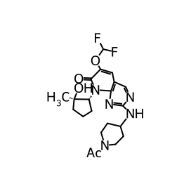 CC(=O)N1CCC(Nc2ncc3cc(OC(F)F)c(=O)n([C@@H]4CCC[C@@]4(C)O)c3n2)CC1